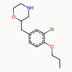 CCCOc1ccc(CC2CNCCO2)cc1Br